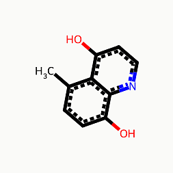 Cc1ccc(O)c2nccc(O)c12